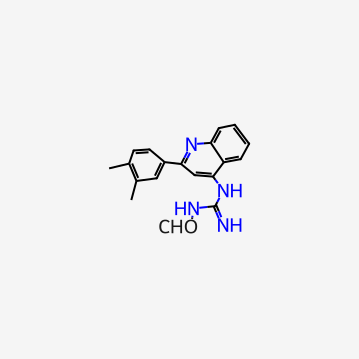 Cc1ccc(-c2cc(NC(=N)NC=O)c3ccccc3n2)cc1C